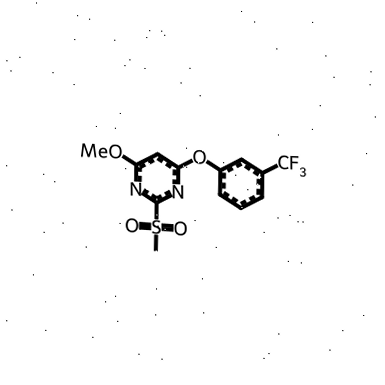 COc1cc(Oc2cccc(C(F)(F)F)c2)nc(S(C)(=O)=O)n1